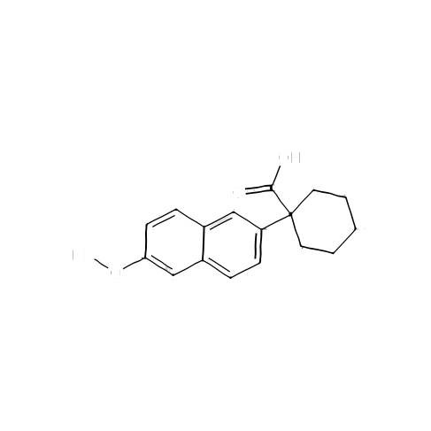 COc1ccc2cc(C3(C(=O)O)CCCCC3)ccc2c1